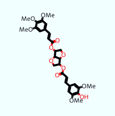 COc1cc(/C=C/C(=O)OC2COC3C(OC(=O)/C=C/c4cc(OC)c(OC)c(OC)c4)COC23)cc(OC)c1O